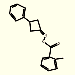 O=C(ON=C1CC(c2ccccc2)C1)c1ccccc1F